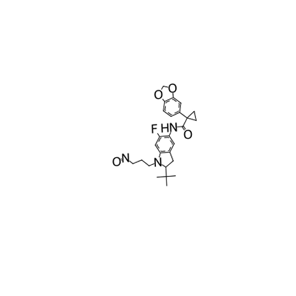 CC(C)(C)C1Cc2cc(NC(=O)C3(c4ccc5c(c4)OCO5)CC3)c(F)cc2N1CCCN=O